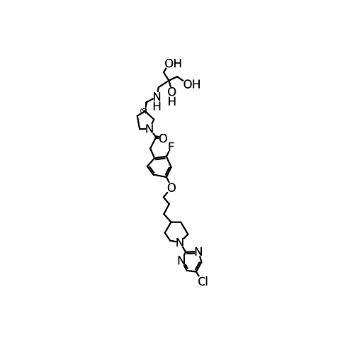 O=C(Cc1ccc(OCCCC2CCN(c3ncc(Cl)cn3)CC2)cc1F)N1CC[C@@H](CNCC(O)(CO)CO)C1